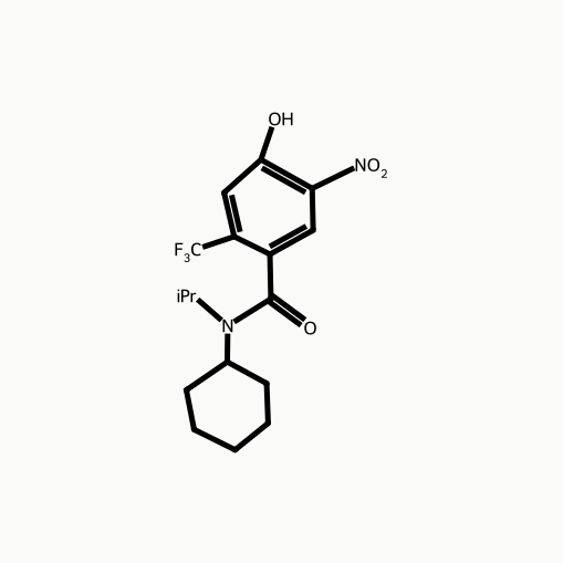 CC(C)N(C(=O)c1cc([N+](=O)[O-])c(O)cc1C(F)(F)F)C1CCCCC1